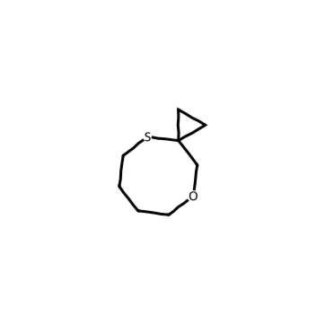 C1CCSC2(CC2)COC1